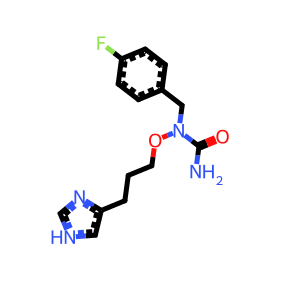 NC(=O)N(Cc1ccc(F)cc1)OCCCc1c[nH]cn1